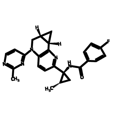 Cc1nccc(N2C[C@@H]3C[C@@H]3c3nc([C@]4(NC(=O)c5ccc(F)cc5)C[C@@H]4C)ccc32)n1